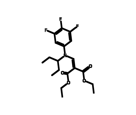 CCOC(=O)C(=CN(c1cc(F)c(F)c(F)c1)C(CC)CC)C(=O)OCC